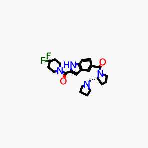 O=C(c1cc2cc(C(=O)N3CCC[C@@H]3CN3CCCC3)ccc2[nH]1)N1CCC(F)(F)CC1